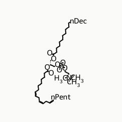 CCCCC/C=C\C/C=C\C/C=C\CCCCCCC(=O)O[C@H](COC(=O)CCCCCCCCCCCCCCCCCCCC)COP(=O)([O-])OCC[N+](C)(C)C